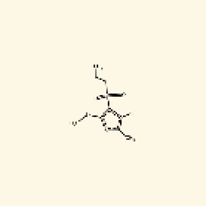 CCCS(=O)(=O)c1c(SC)sc(C)c1Cl